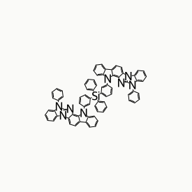 c1ccc(-n2c3ccccc3n3c4ccc5c6ccccc6n(-c6cccc([Si](c7ccccc7)(c7ccccc7)c7cccc(-n8c9ccccc9c9ccc%10c(nc%11n(-c%12ccccc%12)c%12ccccc%12n%10%11)c98)c7)c6)c5c4nc23)cc1